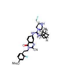 COc1ccc(CCn2c(C#N)nc3cc(NC(=NC4C[C@H]5C[C@@H]([C@@H]4C)C5(C)C)N4CCN[C@@H](CF)C4)ccc3c2=O)c(F)c1